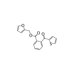 O=C(OCc1ccco1)c1ccccc1C(=O)c1cccs1